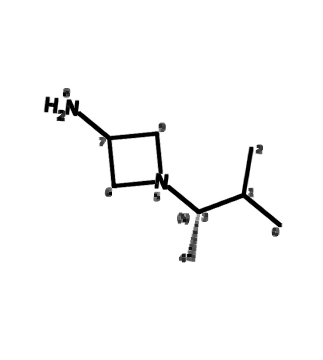 CC(C)[C@H](C)N1CC(N)C1